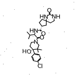 CC(C)[C@@H](NC(=O)[C@@H]1CCC2(CCNC(=O)N2)C1)C(=O)N1CC[C@](O)(c2ccc(Cl)cc2)C(C)(C)C1